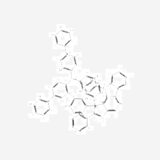 c1ccc(C2=Nc3ccc4c5ccccc5n(-c5ccc(N(c6ccc(-c7ccccc7)cc6)c6ccc(-c7ccccc7)cc6)cc5)c4c3C2(c2ccccc2)c2ccccc2)cc1